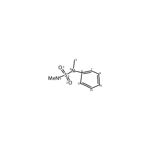 CNS(=O)(=O)N(C)c1cc[c]cc1